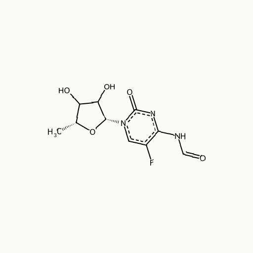 C[C@H]1O[C@@H](n2cc(F)c(NC=O)nc2=O)C(O)C1O